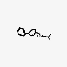 CC(C)NCc1ccc(-c2ccccc2)cc1